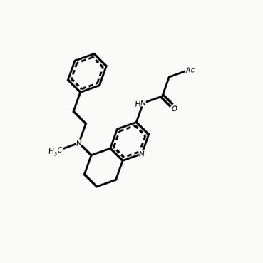 CC(=O)CC(=O)Nc1cnc2c(c1)C(N(C)CCc1ccccc1)CCC2